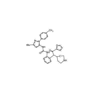 Cc1ccc(-n2nc(C(C)(C)C)cc2NC(=O)Nc2ccccc2C(C(=O)c2ccco2)C2CCNCC2)cc1